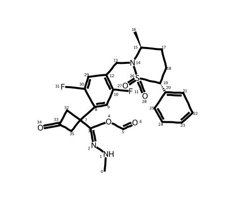 CN/N=C(\OC=O)C1(c2cc(F)c(CN3[C@@H](C)CC[C@H](c4ccccc4)S3(=O)=O)cc2F)CC(=O)C1